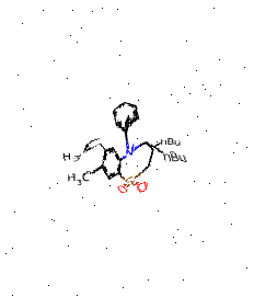 CCCCC1(CCCC)CN(c2ccccc2)c2cc(C)c(C)cc2S(=O)(=O)C1